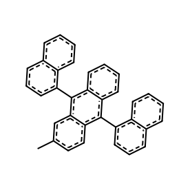 Cc1ccc2c(-c3cccc4ccccc34)c3ccccc3c(-c3cccc4ccccc34)c2c1